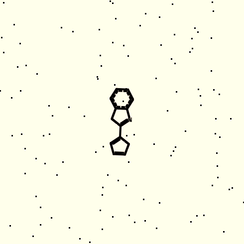 C1=CCC(C2=Nc3ccccc3C2)=C1